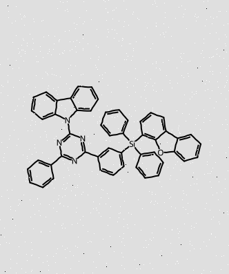 c1ccc(-c2nc(-c3cccc([Si](c4ccccc4)(c4ccccc4)c4cccc5c4oc4ccccc45)c3)nc(-n3c4ccccc4c4ccccc43)n2)cc1